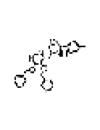 Cc1ccc(C2COCC(Cc3ncnc(OCc4ccccc4)c3OCc3ccccc3)N2)cc1